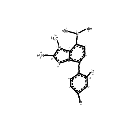 CCCCN(CCCC)c1ccc(-c2ccc(Br)cc2CC)c2nc(N)n(C)c12